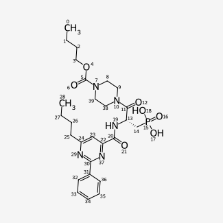 CCCCOC(=O)N1CCN(C(=O)[C@H](CP(=O)(O)O)NC(=O)c2cc(CCCC)nc(-c3ccccc3)n2)CC1